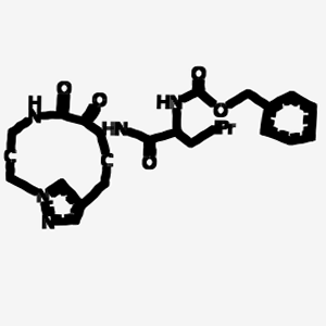 CC(C)CC(NC(=O)OCc1ccccc1)C(=O)NC1CCc2cnn(c2)CCCNC(=O)C1=O